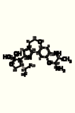 C[C@H](Nc1ccc2c(c1)OCCn1cc(N3[C@H](C(F)F)COS3(O)O)nc1-2)C(N)=O